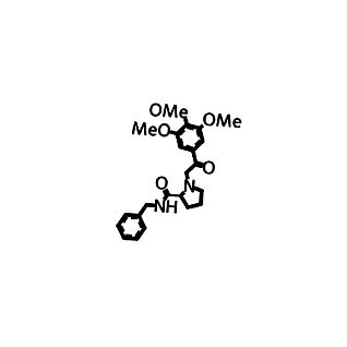 COc1cc(C(=O)CN2CCC[C@H]2C(=O)NCc2ccccc2)cc(OC)c1OC